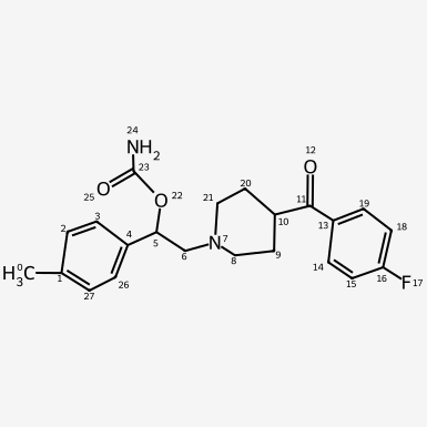 Cc1ccc(C(CN2CCC(C(=O)c3ccc(F)cc3)CC2)OC(N)=O)cc1